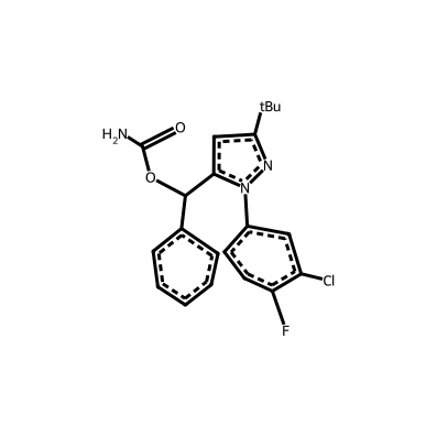 CC(C)(C)c1cc(C(OC(N)=O)c2ccccc2)n(-c2ccc(F)c(Cl)c2)n1